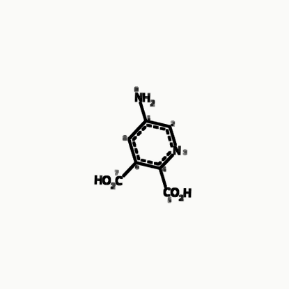 Nc1cnc(C(=O)O)c(C(=O)O)c1